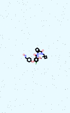 COc1cc(F)c(OC2CCC(CN=O)CC2)cc1C(=O)NC1C2CCC(C2)C1C(=O)NCC1(C)CCC1